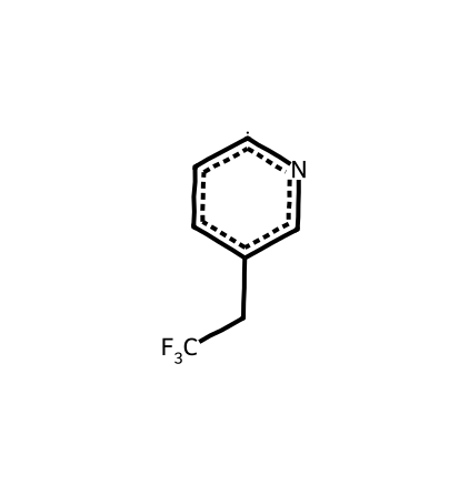 FC(F)(F)Cc1cc[c]nc1